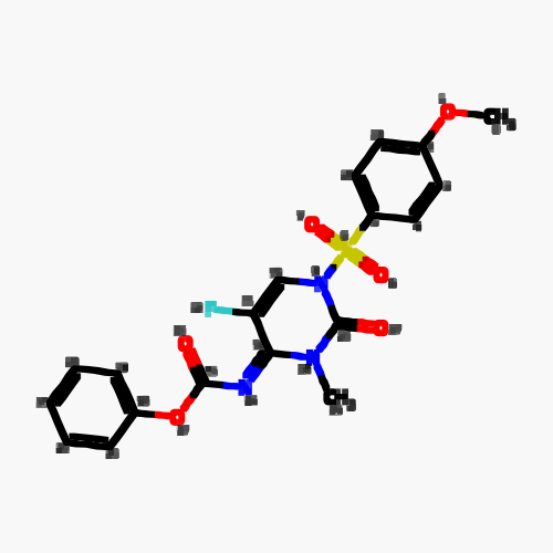 COc1ccc(S(=O)(=O)n2cc(F)/c(=N\C(=O)Oc3ccccc3)n(C)c2=O)cc1